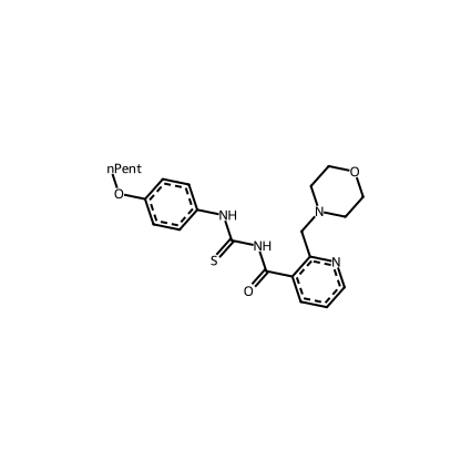 CCCCCOc1ccc(NC(=S)NC(=O)c2cccnc2CN2CCOCC2)cc1